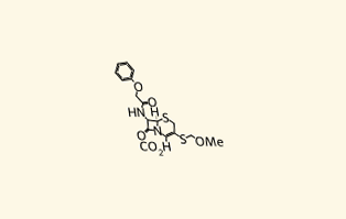 COCSC1=C(C(=O)O)N2C(=O)[C@@H](NC(=O)COc3ccccc3)[C@H]2SC1